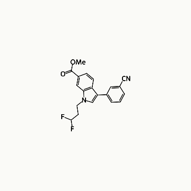 COC(=O)c1ccc2c(-c3cccc(C#N)c3)cn(CCC(F)F)c2c1